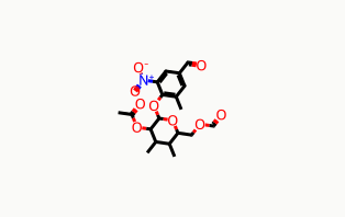 CC(=O)OC1C(Oc2c(C)cc(C=O)cc2[N+](=O)[O-])OC(COC=O)C(C)C1C